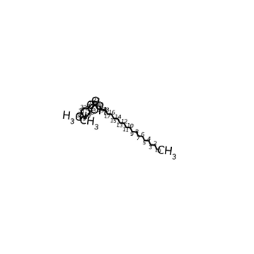 CCCCCCCCCCCCCCCCCCCCOP(=O)(O)OC1CC[N+](C)(C)CC1